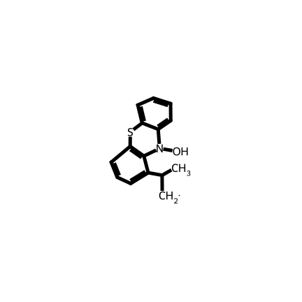 [CH2]C(C)c1cccc2c1N(O)c1ccccc1S2